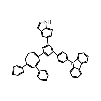 C1=C(c2ccccc2)\C=C(\c2ccccc2)CC\C=C/1c1cc(-c2ccc(-n3c4ccccc4c4ccccc43)cc2)cc(-c2ccc3[nH]ccc3c2)c1